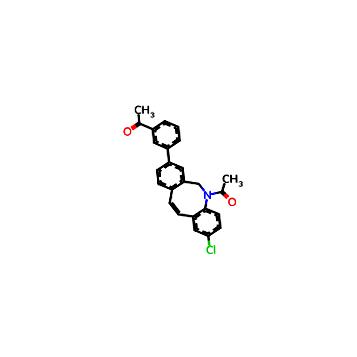 CC(=O)c1cccc(-c2ccc3c(c2)CN(C(C)=O)c2ccc(Cl)cc2C=C3)c1